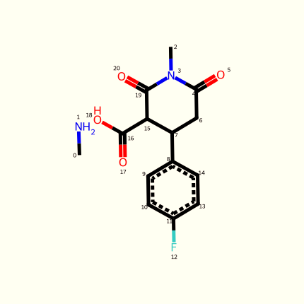 CN.CN1C(=O)CC(c2ccc(F)cc2)C(C(=O)O)C1=O